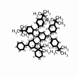 CC(C)(C)C1=CCC2C(=C1)B1C3CC(C4CCCCC4)CC4C3N(C3CC(N(C5=CCC(C(C)(C)C)CC5)C5=CCC(C(C)(C)C)CC5)CC(C13)N2c1ccc(C(C)(C)C)cc1)C(C)(C)C41CCCCC1